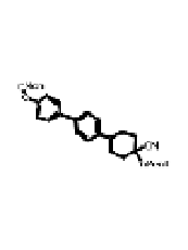 CCCCCCCCCOc1ccc(-c2ccc(C3CCC(C#N)(CCCCC)CC3)cc2)cc1